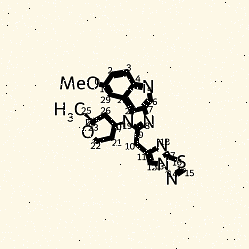 COc1ccc2ncc3nc(Cc4cn5ncsc5n4)n([C@H]4CCO[C@@H](C)C4)c3c2c1